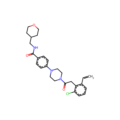 C=Cc1cccc(Cl)c1CC(=O)N1CCN(c2ccc(C(=O)NCC3CCOCC3)cc2)CC1